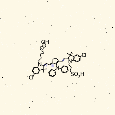 CC1(C)C(/C=C/C2=C(N(c3ccccc3)c3ccccc3)C(=C/C=C3/N(CCCSOOO)c4ccc(Cl)cc4C3(C)C)/CC2)=[N+](CCCS(=O)(=O)O)c2ccc(Cl)cc21